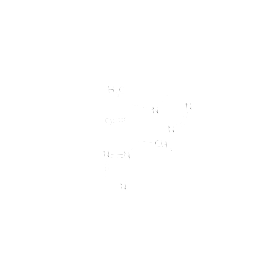 CC(C(=O)C(C)n1cncn1)n1cncn1